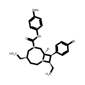 COc1ccc(NC(=O)N2C[C@H](CC(=O)O)CCN3[C@H](CN)[C@H](c4ccc(Br)cc4)[C@@H]3C2)cc1